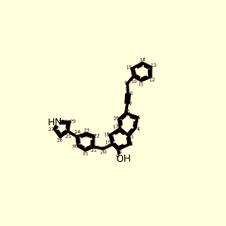 Oc1cc2ccc(C#CCc3ccccc3)cc2cc1Cc1ccc(-c2cc[nH]c2)cc1